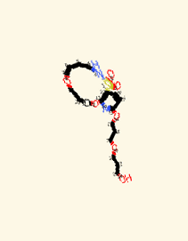 O=S1(=O)NCCCCOCCCOc2nc(OCCCOCCCO)ccc21